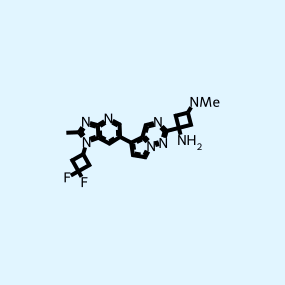 CNC1CC(N)(c2ncc3c(-c4cnc5nc(C)n(C6CC(F)(F)C6)c5c4)ccn3n2)C1